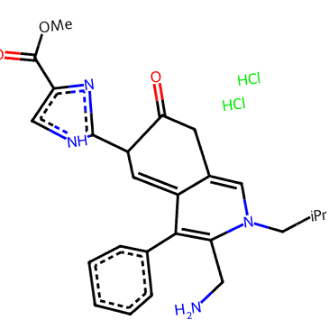 COC(=O)c1c[nH]c(C2C=C3C(=CN(CC(C)C)C(CN)=C3c3ccccc3)CC2=O)n1.Cl.Cl